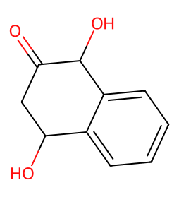 O=C1CC(O)c2ccccc2C1O